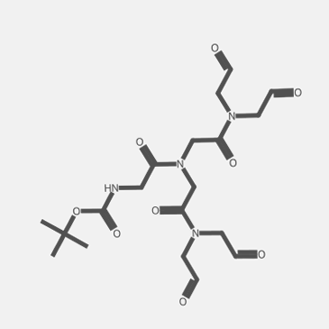 CC(C)(C)OC(=O)NCC(=O)N(CC(=O)N(CC=O)CC=O)CC(=O)N(CC=O)CC=O